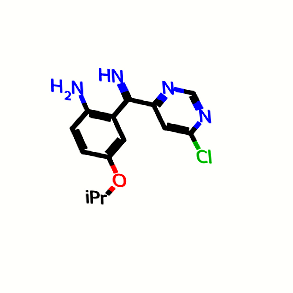 CC(C)Oc1ccc(N)c(C(=N)c2cc(Cl)ncn2)c1